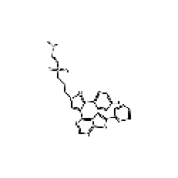 CN(C)/C=N/S(=O)(=O)CCCn1cc(-c2ncnc3oc(-c4ccccc4)cc23)c(-c2ccc(F)cc2)n1